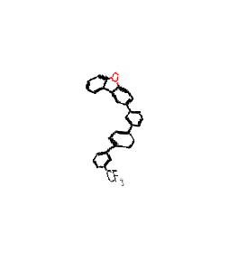 FC(F)(F)c1cccc(-c2ccc(-c3cccc(-c4ccc5oc6ccccc6c5c4)c3)cc2)c1